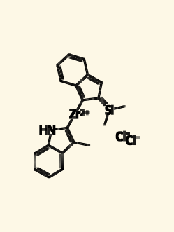 Cc1[c]([Zr+2][C]2=c3ccccc3=CC2=[Si](C)C)[nH]c2ccccc12.[Cl-].[Cl-]